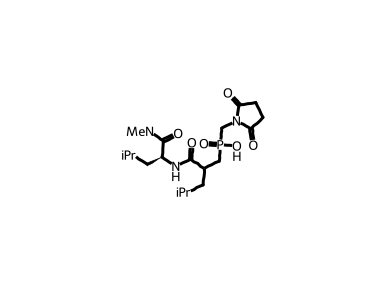 CNC(=O)[C@H](CC(C)C)NC(=O)C(CC(C)C)CP(=O)(O)CN1C(=O)CCC1=O